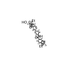 CCC(C(=O)O)N1Cc2sc(-c3ccc(NC(=O)c4ccc5c(c4)nc(C)n5CC)cc3)cc2S1(=O)=O